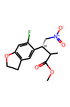 COC(=O)C(C)[C@@H](C[N+](=O)[O-])c1cc2c(cc1F)OCC2